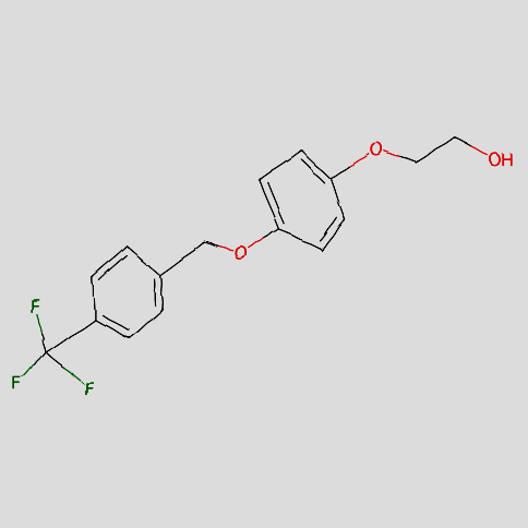 OCCOc1ccc(OCc2ccc(C(F)(F)F)cc2)cc1